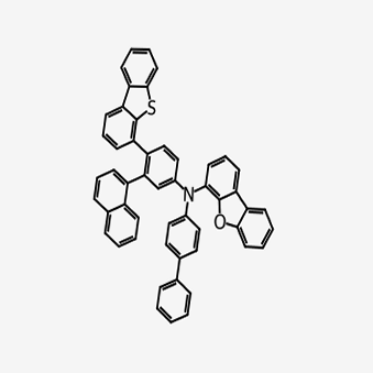 c1ccc(-c2ccc(N(c3ccc(-c4cccc5c4sc4ccccc45)c(-c4cccc5ccccc45)c3)c3cccc4c3oc3ccccc34)cc2)cc1